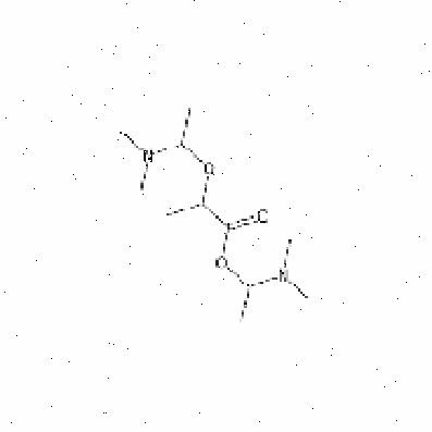 CC(OC(C)N(C)C)C(=O)OC(C)N(C)C